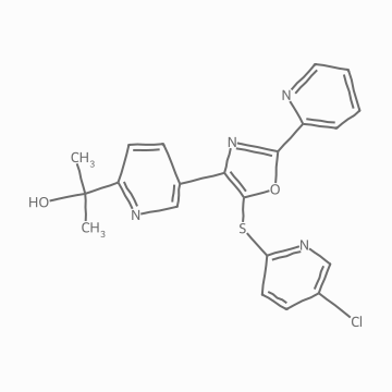 CC(C)(O)c1ccc(-c2nc(-c3ccccn3)oc2Sc2ccc(Cl)cn2)cn1